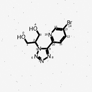 OCC(CO)n1nnnc1-c1ccc(Br)cn1